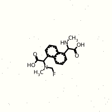 CNC(C(=O)O)c1cccc2c(C(C(=O)O)N(C)CF)cccc12